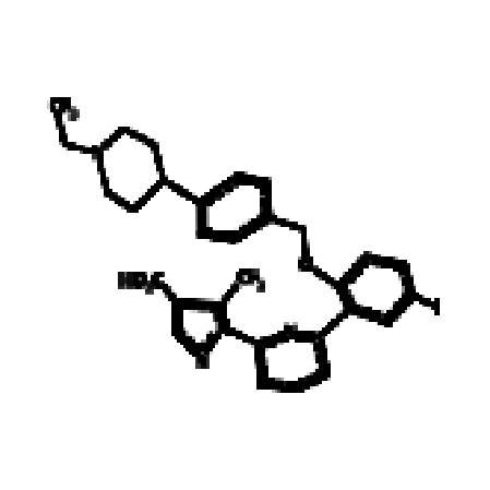 O=C(O)c1cnn(-c2cccc(-c3cc(I)ccc3OCc3ccc(C4CCN(CC(F)(F)F)CC4)cc3)n2)c1C(F)(F)F